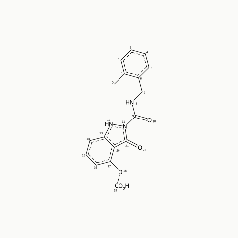 Cc1ccccc1CNC(=O)n1[nH]c2cccc(OC(=O)O)c2c1=O